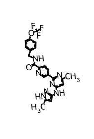 Cc1cc(Nc2cc(C)[nH]n2)nc(-c2ccc(C(=O)NCc3ccc(OC(F)(F)F)cc3)nc2)n1